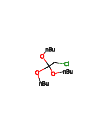 CCCCOC(CCl)(OCCCC)OCCCC